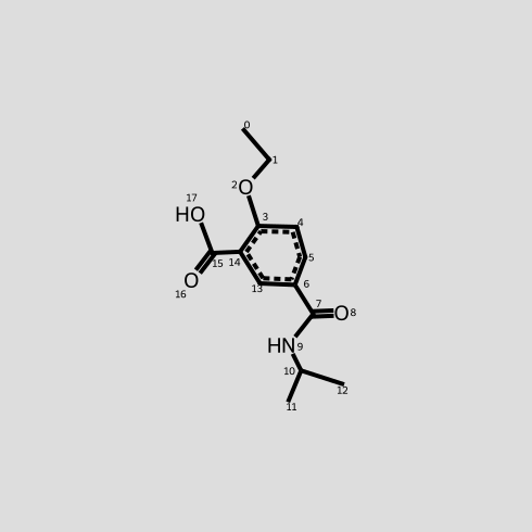 CCOc1ccc(C(=O)NC(C)C)cc1C(=O)O